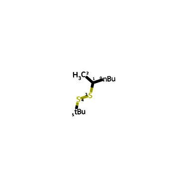 CCCCC(C)SSC(C)(C)C